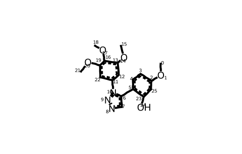 COc1ccc(-c2cnnn2-c2cc(OC)c(OC)c(OC)c2)c(O)c1